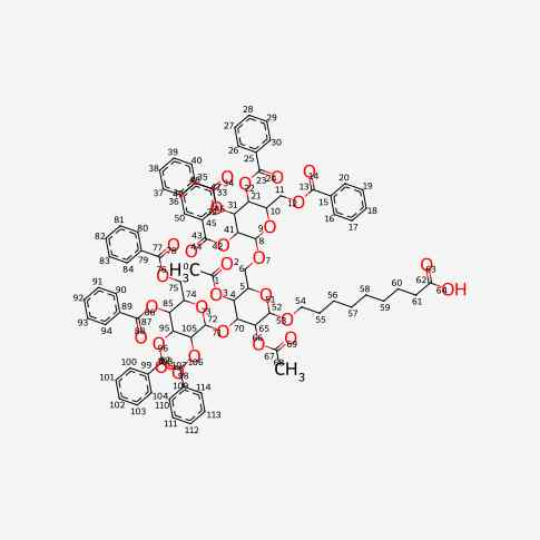 CC(=O)OC1C(COC2OC(COC(=O)c3ccccc3)C(OC(=O)c3ccccc3)C(OC(=O)c3ccccc3)C2OC(=O)c2ccccc2)OC(OCCCCCCCCC(=O)O)C(OC(C)=O)C1OC1OC(COC(=O)c2ccccc2)C(OC(=O)c2ccccc2)C(OC(=O)c2ccccc2)C1OC(=O)c1ccccc1